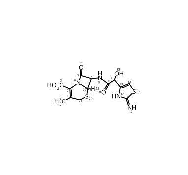 CC1=C(C(=O)O)N2C(=O)C(NC(=O)C(O)c3csc(=N)[nH]3)[C@H]2SC1